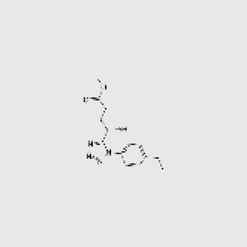 CCc1ccc(-n2nnnc2C(S)CCC(=O)OC)cc1